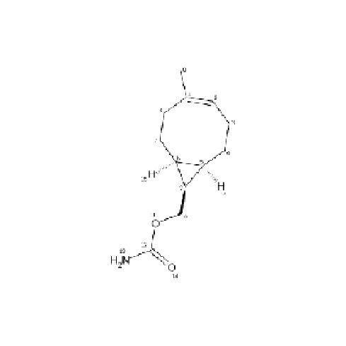 C/C1=C/CC[C@@H]2[C@H](CC1)[C@@H]2COC(N)=O